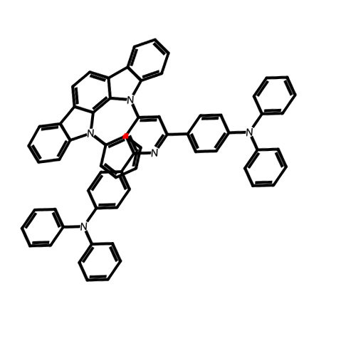 c1ccc(N(c2ccccc2)c2ccc(-c3cc(-n4c5ccccc5c5ccc6c7ccccc7n(-c7ccccc7)c6c54)cc(-c4ccc(N(c5ccccc5)c5ccccc5)cc4)n3)cc2)cc1